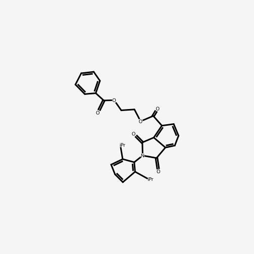 CC(C)c1cccc(C(C)C)c1N1C(=O)c2cccc(C(=O)OCCOC(=O)c3ccccc3)c2C1=O